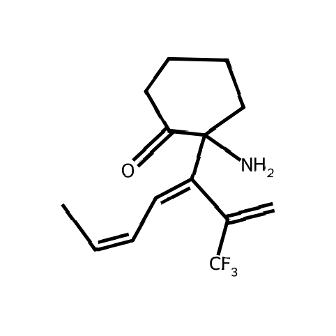 C=C(/C(=C\C=C/C)C1(N)CCCCC1=O)C(F)(F)F